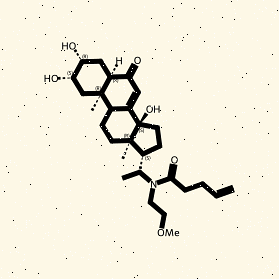 C=CCCC(=O)N(CCOC)C(C)[C@H]1CC[C@@]2(O)C3=CC(=O)[C@@H]4C[C@@H](O)[C@@H](O)C[C@]4(C)C3CC[C@]12C